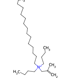 C=C(C)C[N+](CCCC)(CCCC)CCCCCCCCCCCCCC